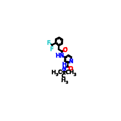 CC(C)(C)NC(=O)c1cc(NC(=O)Cc2ccccc2C(F)F)ccn1